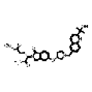 CC(C)(C)OC(=O)CC[C@@H](C(N)=O)N1Cc2cc(O[C@H]3CCN(Cc4ccc5nc(C(C)(C)O)ccc5c4)C3)ccc2C1=O